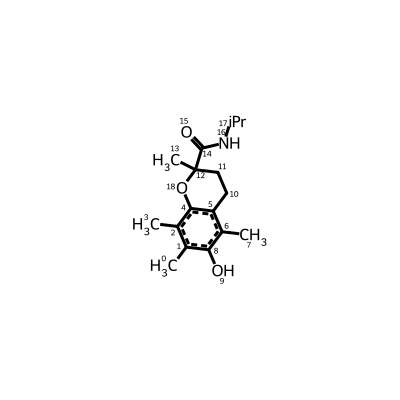 Cc1c(C)c2c(c(C)c1O)CCC(C)(C(=O)NC(C)C)O2